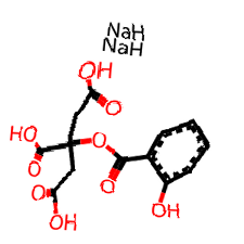 O=C(O)CC(CC(=O)O)(OC(=O)c1ccccc1O)C(=O)O.[NaH].[NaH]